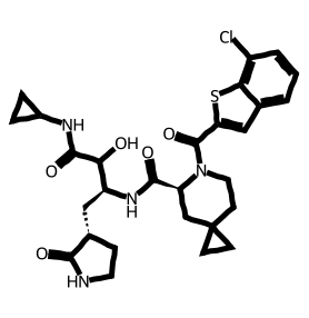 O=C(NC1CC1)C(O)[C@H](C[C@@H]1CCNC1=O)NC(=O)[C@@H]1CC2(CCN1C(=O)c1cc3cccc(Cl)c3s1)CC2